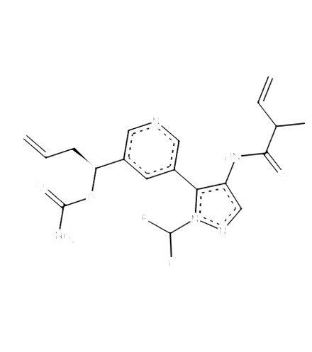 C=CC[C@H](OC(N)=O)c1cncc(-c2c(NC(=O)C(C)C=C)cnn2C(F)F)c1